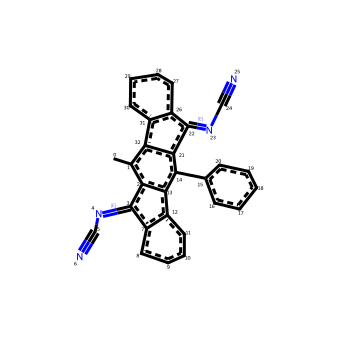 Cc1c2/c(=N/C#N)c3ccccc3c2c(-c2ccccc2)c2/c(=N/C#N)c3ccccc3c12